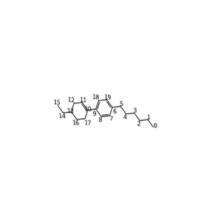 CCCCCCc1ccc(C2=CCC(CC)CC2)cc1